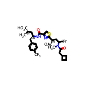 CC(=O)O[C@H](CC(C(C)C)N(C)C(=O)CC1CCC1)c1nc(C(=O)N[C@@H](Cc2ccc(C(F)(F)F)cc2)C[C@H](C)C(=O)O)cs1